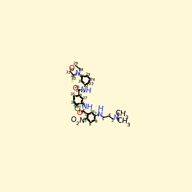 CN(C)CCCNc1ccc([N+](=O)[O-])c(C(=O)Nc2cc(C(=O)Nc3cccc(N4CCOCC4F)c3)ccc2Cl)c1